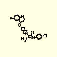 CC(C(=O)Nc1ccc(Cl)cc1)N1CC2(CC(Oc3ccnc4ccc(F)cc34)C2)C1